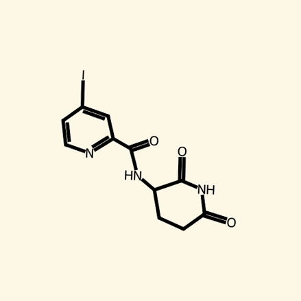 O=C1CCC(NC(=O)c2cc(I)ccn2)C(=O)N1